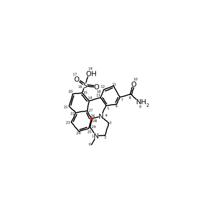 CN1CCN(c2cc(C(N)=O)ccc2-c2c(S(=O)(=O)O)ccc3ccccc23)CC1